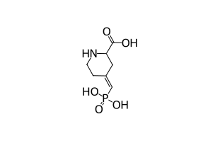 O=C(O)C1CC(=CP(=O)(O)O)CCN1